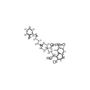 COc1ccc2ncc(Cl)c([C@@H](O)CCC3(CO)CCN(CCCSc4ccccc4F)CC3)c2c1